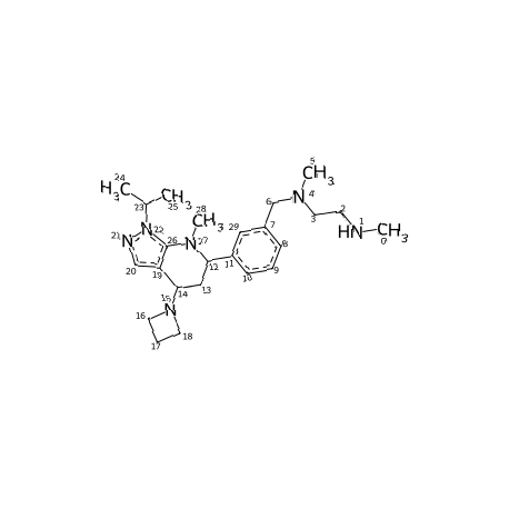 CNCCN(C)Cc1cccc(C2CC(N3CCC3)c3cnn(C(C)C)c3N2C)c1